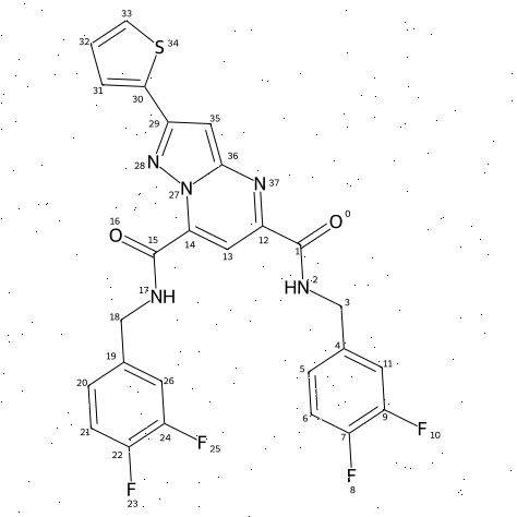 O=C(NCc1ccc(F)c(F)c1)c1cc(C(=O)NCc2ccc(F)c(F)c2)n2nc(-c3cccs3)cc2n1